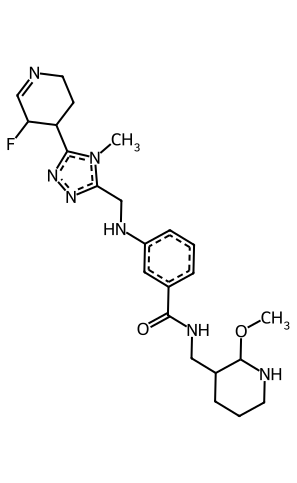 COC1NCCCC1CNC(=O)c1cccc(NCc2nnc(C3CCN=CC3F)n2C)c1